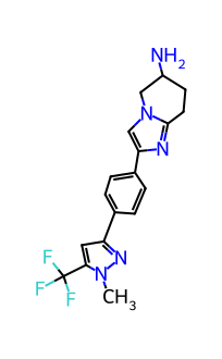 Cn1nc(-c2ccc(-c3cn4c(n3)CCC(N)C4)cc2)cc1C(F)(F)F